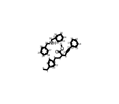 CCc1ccc(CCC(CC#Cc2ccccc2)C(=O)OC)cc1.c1ccc(CNCc2ccccc2)cc1